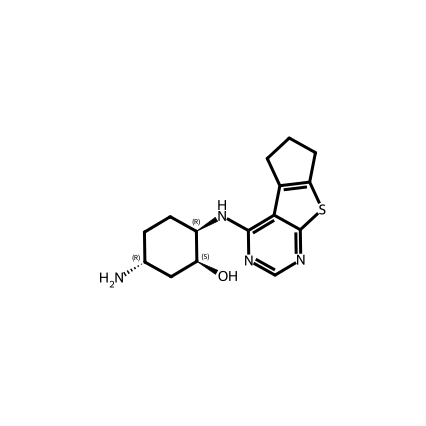 N[C@@H]1CC[C@@H](Nc2ncnc3sc4c(c23)CCC4)[C@@H](O)C1